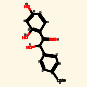 COc1ccc(C(O)C(=O)c2ccc(O)cc2O)cc1